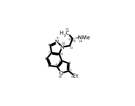 CCc1cc2c(ccc3cnn(C[C@H](C)NC)c32)o1